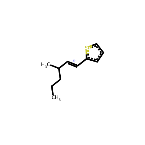 CCCC(C)/C=C/c1cccs1